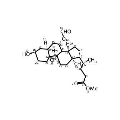 COC(=O)CC[C@@H](C)[C@H]1CC[C@H]2[C@@H]3[C@@H](OC=O)C[C@@H]4C[C@H](O)CC[C@]4(C)[C@H]3CC[C@]12C